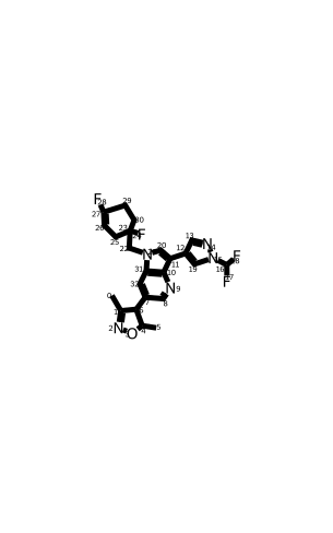 CC1=NOC(C)C1c1cnc2c(-c3cnn(C(F)F)c3)cn(CC3(F)CC=C(F)CC3)c2c1